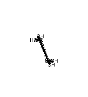 O=C(CCCCCCC/C=C/CCCCCCCC(=O)N(CCO)CCO)N(CCO)CCO